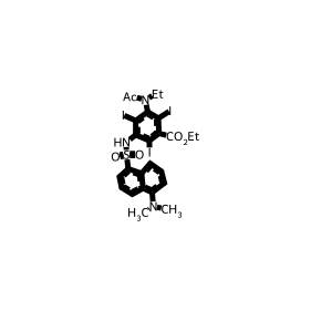 CCOC(=O)c1c(I)c(NS(=O)(=O)c2cccc3c(N(C)C)cccc23)c(I)c(N(CC)C(C)=O)c1I